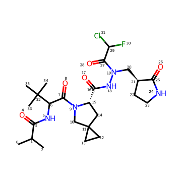 CC(C)C(=O)NC(C(=O)N1CC2(CC2)C[C@H]1C(=O)NN(C[C@@H]1CCNC1=O)C(=O)C(F)Cl)C(C)(C)C